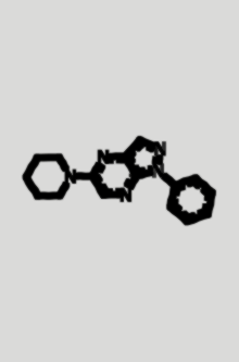 c1ccc(-n2ncc3nc(N4CCCCC4)cnc32)cc1